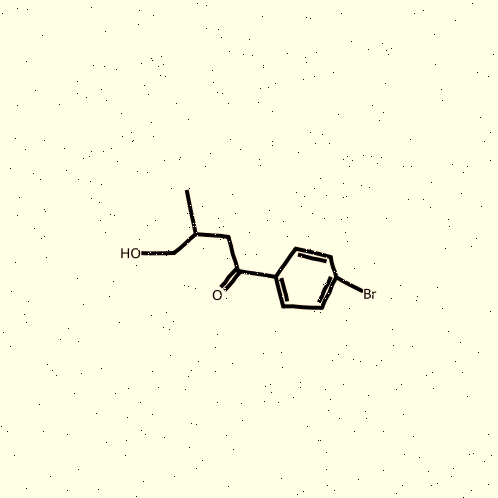 CC(CO)CC(=O)c1ccc(Br)cc1